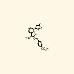 Cc1cc(-c2nncc3c(C(C)(C)C)c(OCc4ccc(C(=O)O)cn4)nn23)no1